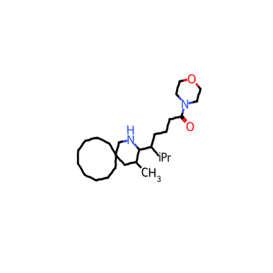 CC(C)C(CCCC(=O)N1CCOCC1)C1NCC2(CCCCCCCCC2)CC1C